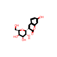 O=c1oc2cc(O)ccc2cc1[C@H]1O[C@H](CO)[C@H](O)[C@H](O)[C@H]1O